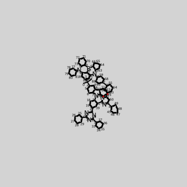 CC(C)(C)c1ccc2c(c1)c1ccccc1n2-c1ccc(-c2nc(-c3ccccc3)nc(-c3ccccc3)n2)cc1-c1nc(-c2ccccc2)cc(-c2cccc(-c3ccc(N4c5ccccc5B5c6ccccc6N(c6ccccc6)c6cccc4c65)cc3)c2)n1